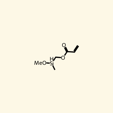 C=CC(=O)OC[SiH](C)OC